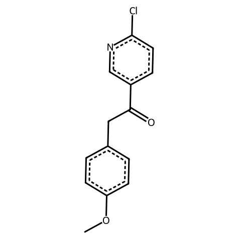 COc1ccc(CC(=O)c2ccc(Cl)nc2)cc1